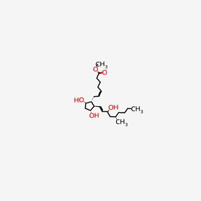 CCCC[C@H](C)C[C@H](O)/C=C/[C@@H]1[C@@H](C/C=C\CCCC(=O)OC)[C@@H](O)C[C@H]1O